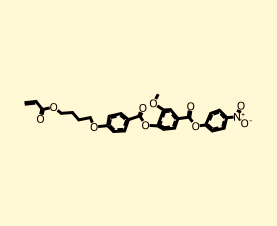 C=CC(=O)OCCCCOc1ccc(C(=O)Oc2ccc(C(=O)Oc3ccc([N+](=O)[O-])cc3)cc2OC)cc1